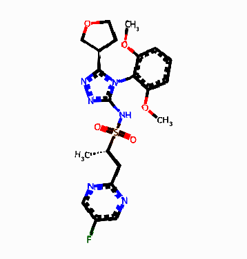 COc1cccc(OC)c1-n1c(NS(=O)(=O)[C@@H](C)Cc2ncc(F)cn2)nnc1[C@@H]1CCOC1